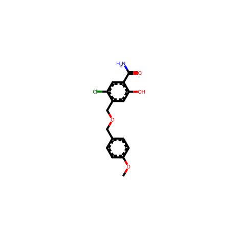 COc1ccc(COCc2cc(O)c(C(N)=O)cc2Cl)cc1